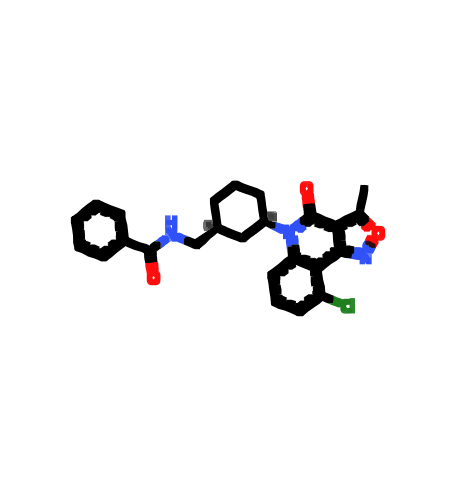 Cc1onc2c1c(=O)n([C@@H]1CCC[C@H](CNC(=O)c3ccccc3)C1)c1cccc(Cl)c21